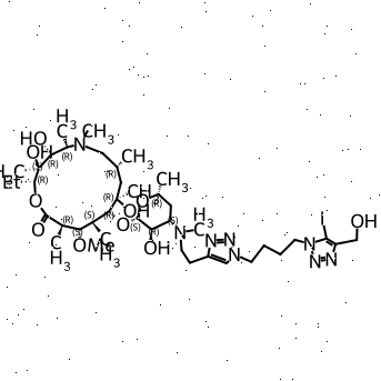 CC[C@H]1OC(=O)[C@H](C)[C@@H](OC)[C@H](C)[C@@H](O[C@@H]2O[C@H](C)C[C@H](N(C)CCc3cn(CCCCn4nnc(CO)c4I)nn3)[C@H]2O)[C@](C)(O)C[C@@H](C)CN(C)[C@H](C)[C@@H](O)[C@]1(C)O